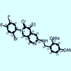 CCc1c(=O)n(-c2cc(I)c(F)cc2Br)cc2cnc(NCc3ccc(OC)cc3OC)cc12